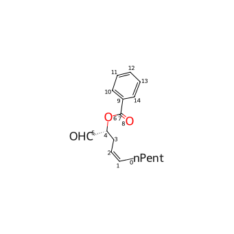 CCCCC/C=C\C[C@H](C=O)OC(=O)c1ccccc1